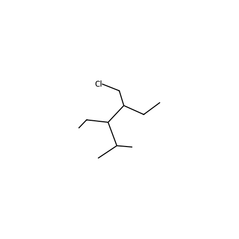 CCC(CCl)C(CC)C(C)C